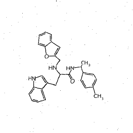 Cc1ccc(C(C)NC(=O)C(Cc2c[nH]c3ccccc23)NCc2cc3ccccc3o2)cc1